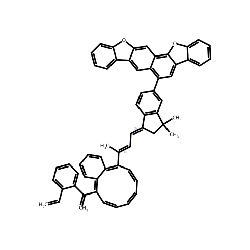 C=Cc1ccccc1C(=C)c1ccccccc(/C(C)=C/C=C2\CC(C)(C)c3cc(-c4cc5c6ccccc6oc5c5cc6oc7ccccc7c6cc45)ccc32)c2ccccc12